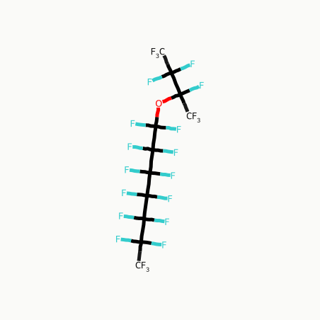 FC(F)(F)C(F)(F)C(F)(F)C(F)(F)C(F)(F)C(F)(F)C(F)(F)OC(F)(C(F)(F)F)C(F)(F)C(F)(F)F